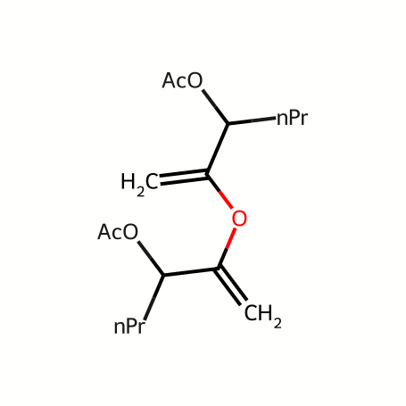 C=C(OC(=C)C(CCC)OC(C)=O)C(CCC)OC(C)=O